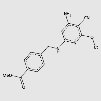 CCOc1nc(NCc2ccc(C(=O)OC)cc2)cc(N)c1C#N